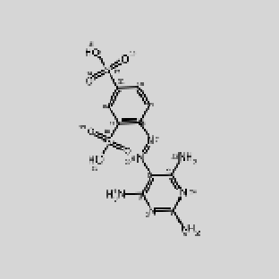 Nc1nc(N)c(/N=N/c2ccc(S(=O)(=O)O)cc2S(=O)(=O)O)c(N)n1